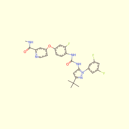 CNC(=O)c1cc(Oc2ccc(NC(=O)Nc3cc(C(C)(C)C)nn3-c3cc(F)cc(F)c3)c(F)c2)ccn1